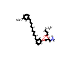 COc1cccc(CCCCCCCCCCc2cccc(OCC(CN(C)C)OC(=O)CCC(=O)O)c2)c1